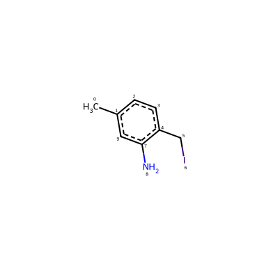 Cc1ccc(CI)c(N)c1